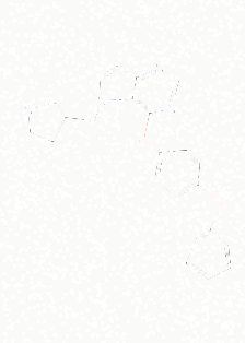 c1ccc(Oc2ccc(Oc3ncnc4ccn(CC5CCNC5)c34)cc2)cc1